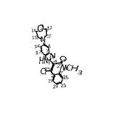 Cn1c(=O)c(-c2nc3cc(N4CCOCC4)ccc3[nH]2)c(Cl)c2ccccc21